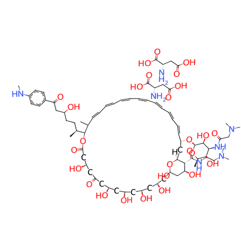 CNc1ccc(C(=O)CC(O)CC[C@H](C)C2OC(=O)C[C@H](O)CC(=O)C[C@H](O)C[C@H](O)C[C@H](O)C[C@H](O)C[C@]3(O)C[C@H](O)[C@@H](C(=O)NCCN(C)C)[C@H](C[C@@H](O[C@@H]4O[C@H](C)[C@@H](O)[C@H](NC(=O)CN(C)C)[C@@H]4O)/C=C/C=C/C=C/C=C\C=C/C=C/C=C/C2C)O3)cc1.N[C@@H](CC(=O)O)C(=O)O.N[C@@H](CC(=O)O)C(=O)O